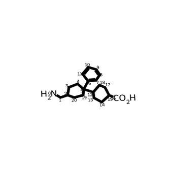 NCC1CCC(c2ccccc2)(C2CCC(C(=O)O)CC2)CC1